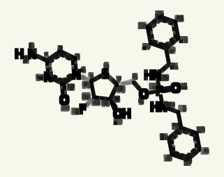 Nc1ccn([C@@H]2S[C@H](COP(=O)(NCc3ccccc3)NCc3ccccc3)[C@@H](O)[C@@H]2F)c(=O)n1